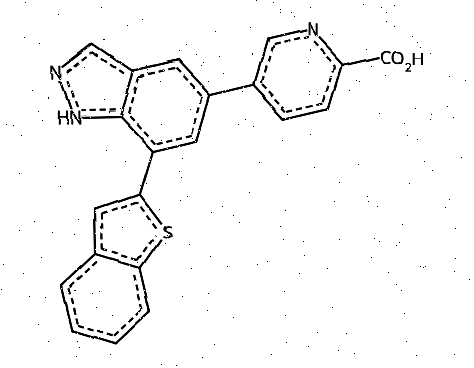 O=C(O)c1ccc(-c2cc(-c3cc4ccccc4s3)c3[nH]ncc3c2)cn1